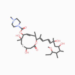 CCC(OC)C(C)C(C)C(O)CC(C)(O)/C=C/C=C(\C)C1OC(=O)CC(O)CCC(C)(O)C(OC(=O)N2CCN(C)CC2)/C=C/C1C